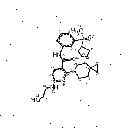 CP(=O)(c1cccc(NC(=O)c2ccc(NCCO)nc2N2CCC3(CC2)CC3)c1)C1CCCC1